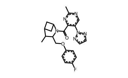 Cc1ncc(-n2nccn2)c(C(=O)N2C3CC(C3)C(C)C2COc2ccc(F)cc2)n1